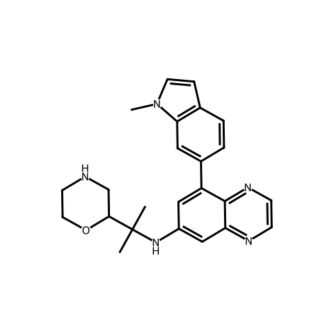 Cn1ccc2ccc(-c3cc(NC(C)(C)C4CNCCO4)cc4nccnc34)cc21